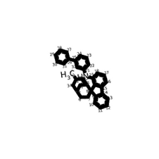 CC1C=C2CC(CCC23c2ccccc2-c2cccc(Nc4cccc(-c5ccccc5)c4)c23)C1